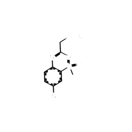 CCOC(=O)CC1=Nc2ccc(N=O)cc2S(C)(=O)=N1